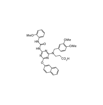 COc1ccccc1NC(=O)Nc1nc(Oc2ccc3ccccc3c2)nc(N(CCC(=O)O)Cc2ccc(OC)c(OC)c2)n1